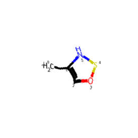 [CH2]C1=COSN1